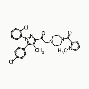 Cc1c(C(=O)CN2CCN(C(=O)c3cccn3C)CC2)nn(-c2ccccc2Cl)c1-c1ccc(Cl)cc1